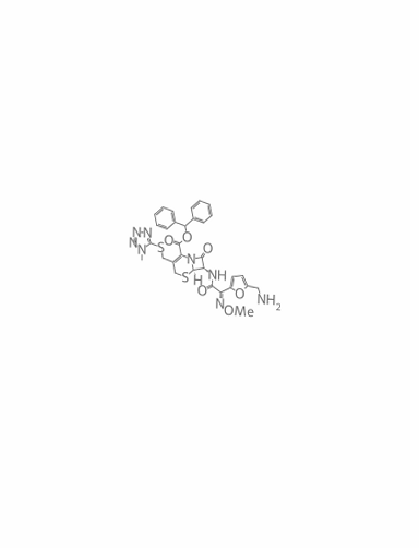 CO/N=C(/C(=O)N[C@@H]1C(=O)N2C(C(=O)OC(c3ccccc3)c3ccccc3)=C(CSc3nnnn3C)CS[C@H]12)c1ccc(CN)o1